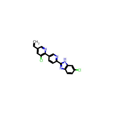 C=Cc1cnc(-c2ccc(-c3nc4ccc(Cl)cc4[nH]3)nc2)c(Cl)c1